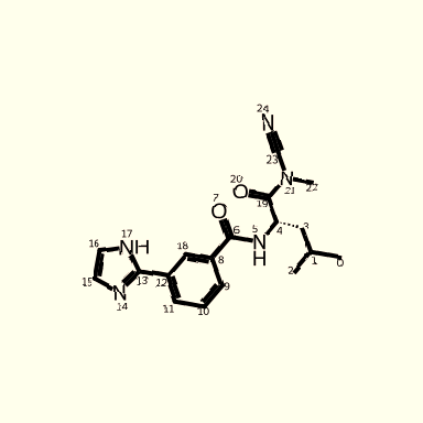 CC(C)C[C@H](NC(=O)c1cccc(-c2ncc[nH]2)c1)C(=O)N(C)C#N